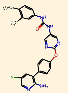 COc1ccc(NC(=O)Nc2cnc(Oc3ccc(-c4cc(F)cnc4N)cc3)nc2)cc1C(F)(F)F